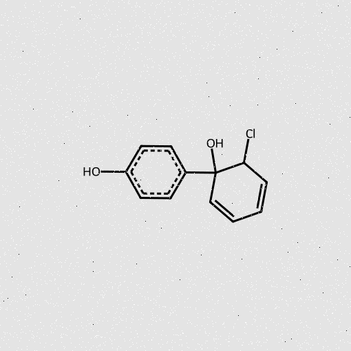 Oc1ccc(C2(O)C=CC=CC2Cl)cc1